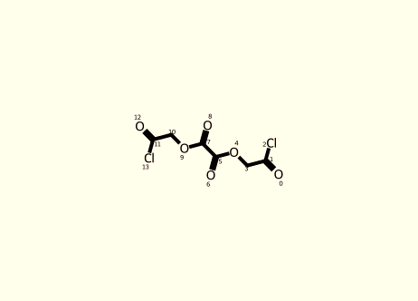 O=C(Cl)COC(=O)C(=O)OCC(=O)Cl